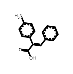 Nc1ccc(/C(=C\c2ccccc2)C(=O)O)cc1